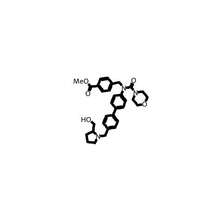 COC(=O)c1ccc(CN(C(=O)N2CCOCC2)c2ccc(-c3ccc(CN4CCCC4CO)cc3)cc2)cc1